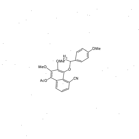 COc1ccc(C(C)Oc2c(OC)c(OC)c(OC(C)=O)c3cccc(C#N)c23)cc1